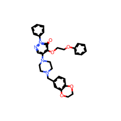 O=c1c(OCCOc2ccccc2)c(N2CCN(Cc3ccc4c(c3)OCCO4)CC2)cnn1-c1ccccc1